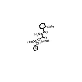 C1CC2CC1O2.CCCCC[C@H](CN(O)C=O)C(=O)N(N)C(=O)c1ccccc1OC